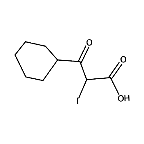 O=C(O)C(I)C(=O)C1CCCCC1